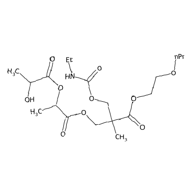 CCCOCCOC(=O)C(C)(COC(=O)NCC)COC(=O)C(C)OC(=O)C(C)O